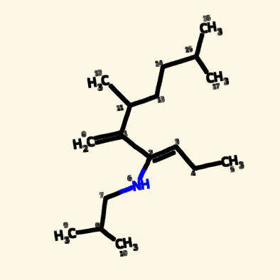 C=C(/C(=C/CC)NCC(C)C)C(C)CCC(C)C